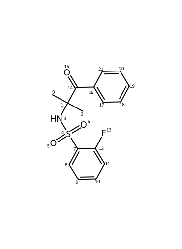 CC(C)(NS(=O)(=O)c1ccccc1F)C(=O)c1ccccc1